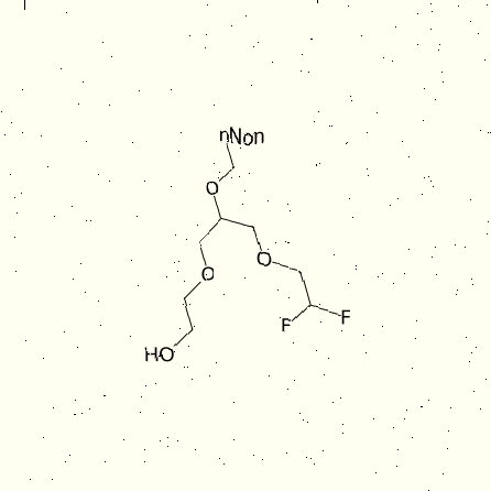 CCCCCCCCCCOC(COCCO)COCC(F)F